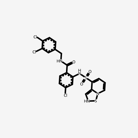 O=C(NCc1ccc(Cl)c(Cl)c1)c1ccc(Cl)cc1NS(=O)(=O)C1=CC=CN2SNC=C12